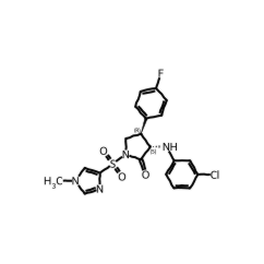 Cn1cnc(S(=O)(=O)N2C[C@@H](c3ccc(F)cc3)[C@H](Nc3cccc(Cl)c3)C2=O)c1